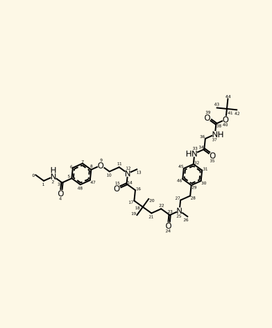 CCNC(=O)c1ccc(OCCN(C)C(=O)CCC(C)(C)CCC(=O)N(C)CCc2ccc(NC(=O)CNC(=O)OC(C)(C)C)cc2)cc1